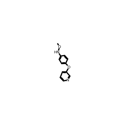 CONc1ccc(Oc2cccnc2)cc1